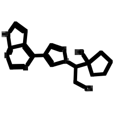 N#CCC(n1cc(-c2ncnc3[nH]ccc23)cn1)C1(O)CCCC1